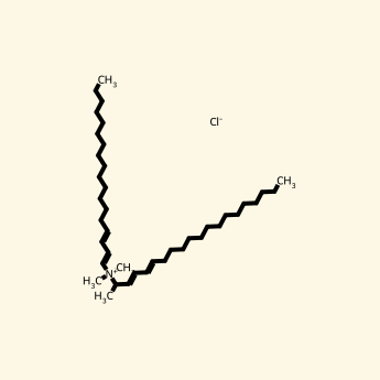 CCCCCCCCCCCCCCC=CC=CC(C)[N+](C)(C)C=CC=CCCCCCCCCCCCCCC.[Cl-]